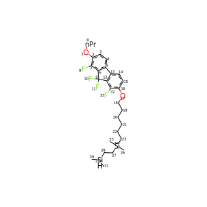 CCCOc1ccc2c(c1F)C(F)(F)c1c-2ccc(OCCCCCC[Si](C)(C)CC[SiH](C)C)c1F